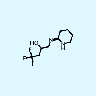 OC(C/N=C1/[CH]CCCN1)CC(F)(F)F